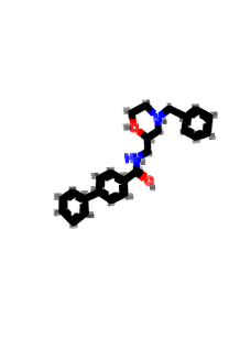 O=C(NCC1CN(Cc2ccccc2)CCO1)c1ccc(-c2ccccc2)cc1